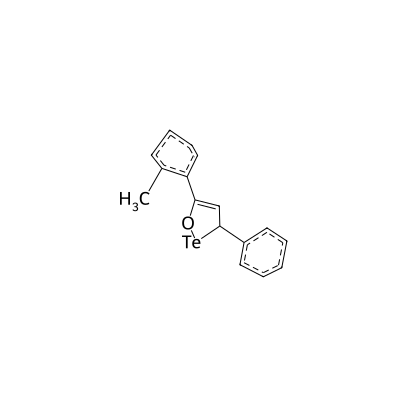 Cc1ccccc1C1=CC(c2ccccc2)[Te]O1